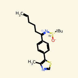 C=CCCC/C(=N/[S@+]([O-])C(C)(C)C)c1ccc(-c2scnc2C)cc1